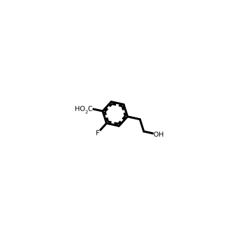 O=C(O)c1ccc(CCO)cc1F